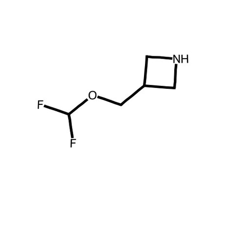 FC(F)OCC1CNC1